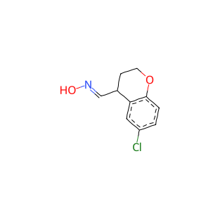 ON=CC1CCOc2ccc(Cl)cc21